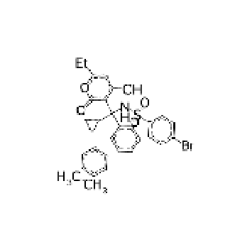 CC.CCc1cc(O)c(C(NS(=O)(=O)c2ccc(Br)cc2)(c2ccccc2)C2CC2)c(=O)o1.c1ccccc1